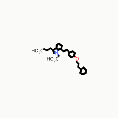 O=C(O)CCCc1cn(CC(=O)O)c2c(/C=C/c3ccc(OCCCc4ccccc4)cc3)cccc12